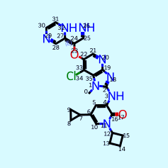 Cn1c(Nc2cc(C3CC3)cn(C3CCC3)c2=O)nc2ncc(O/C(C=N)=C3\C=NC=CN3)c(Cl)c21